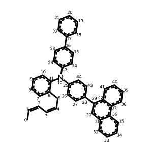 C/C=C\C=C/Cc1ccccc1N(c1ccc(-c2ccccc2)cc1)c1ccc(-c2cc3ccccc3c3ccccc23)cc1